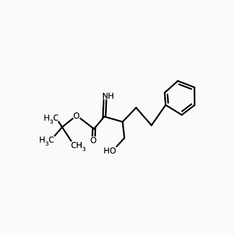 CC(C)(C)OC(=O)C(=N)C(CO)CCc1ccccc1